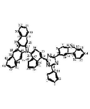 c1ccc(-c2nc(-c3ccc4sc5ccccc5c4c3)nc(-c3ccc(-n4c5cc6ccccc6cc5c5cc6ccccc6cc54)c4ccccc34)n2)cc1